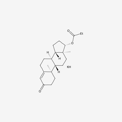 CCC(=O)O[C@H]1CC[C@H]2[C@@H]3CCC4=CC(=O)CC[C@]4(C)[C@H]3CC[C@]12C.[KH]